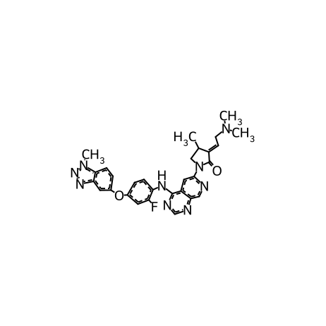 CC1CN(c2cc3c(Nc4ccc(Oc5ccc6c(c5)nnn6C)cc4F)ncnc3cn2)C(=O)/C1=C/CN(C)C